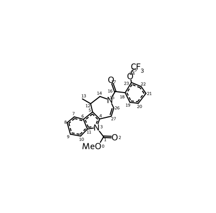 COC(=O)n1c2c(c3ccccc31)C(C)CN(C(=O)c1ccccc1OC(F)(F)F)C=C2